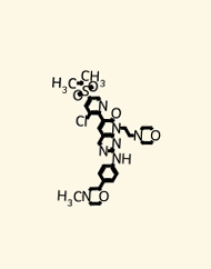 CC(C)S(=O)(=O)c1cnc(-c2cc3cnc(Nc4ccc(C5CN(C)CCO5)cc4)nc3n(CCN3CCOCC3)c2=O)c(Cl)c1